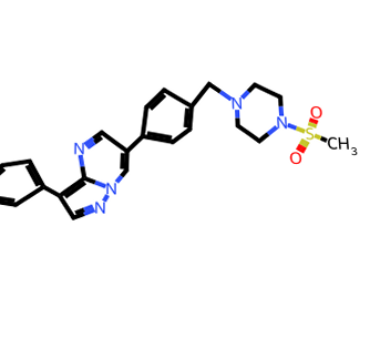 CS(=O)(=O)N1CCN(Cc2ccc(-c3cnc4c(-c5ccccc5)cnn4c3)cc2)CC1